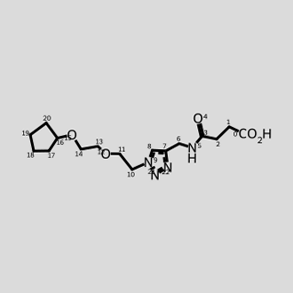 O=C(O)CCC(=O)NCc1cn(CCOCCOC2CCCC2)nn1